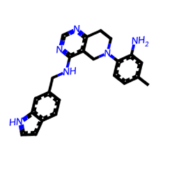 Cc1ccc(N2CCc3ncnc(NCc4ccc5cc[nH]c5c4)c3C2)c(N)c1